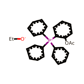 CC(=O)Oc1ccccc1[P+](c1ccccc1)(c1ccccc1)c1ccccc1.CC[O-]